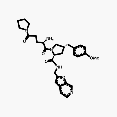 COc1ccc(C[C@@H]2C[C@@H](C(=O)NCc3cc4ccncc4o3)N(C(=O)[C@H](N)CCC(=O)N3CCCC3)C2)cc1